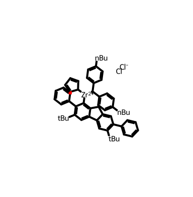 CCCCc1ccc([C](c2ccc(CCCC)cc2)=[Zr+2]([c]2c3c(cc(C(C)(C)C)c2-c2ccccc2)-c2cc(C(C)(C)C)c(-c4ccccc4)cc2C3)[CH]2C=CC=C2)cc1.[Cl-].[Cl-]